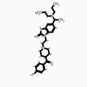 CCCN(CCC)C(C)c1ccc2c(c1)sc(=O)n2CCN1CCC(C(=O)c2ccc(F)cc2)CC1